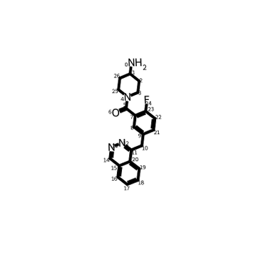 NC1CCN(C(=O)c2cc(Cc3nncc4ccccc34)ccc2F)CC1